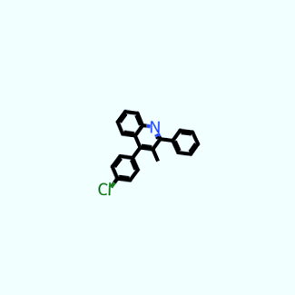 Cc1c(-c2ccccc2)nc2ccccc2c1-c1ccc(Cl)cc1